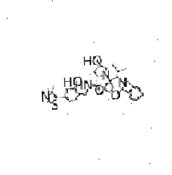 Cc1ncsc1-c1ccc(CNC(=O)[C@@H]2C[C@@H](O)CN2C(=O)C(C(C)C)N2Cc3ccccc3C2=O)c(O)c1